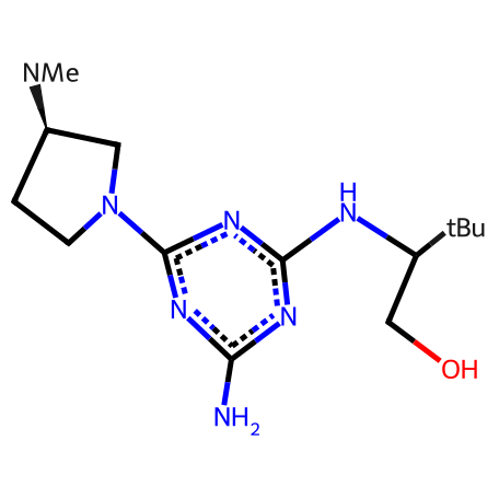 CN[C@@H]1CCN(c2nc(N)nc(NC(CO)C(C)(C)C)n2)C1